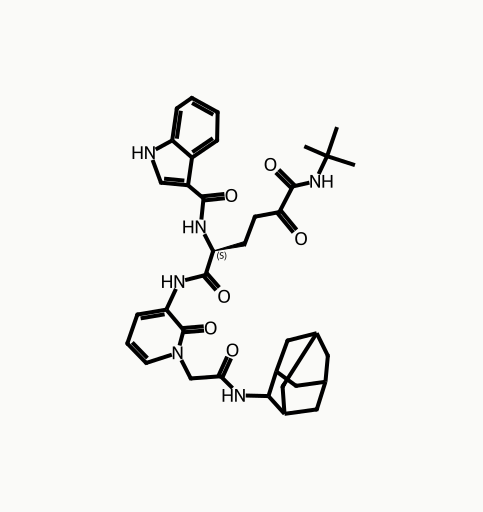 CC(C)(C)NC(=O)C(=O)CC[C@H](NC(=O)c1c[nH]c2ccccc12)C(=O)Nc1cccn(CC(=O)NC2C3CC4CC(C3)CC2C4)c1=O